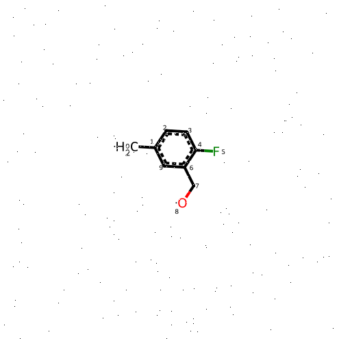 [CH2]c1ccc(F)c(C[O])c1